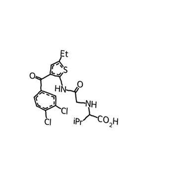 CCc1cc(C(=O)c2ccc(Cl)c(Cl)c2)c(NC(=O)CNC(C(=O)O)C(C)C)s1